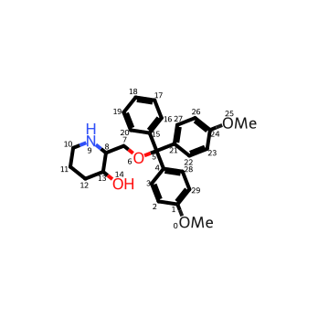 COc1ccc(C(OCC2NCCCC2O)(c2ccccc2)c2ccc(OC)cc2)cc1